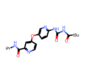 CC(C)NC(=O)c1cc(Oc2ccc(NC(=O)NC(=O)C(C)(C)C)nc2)ccn1